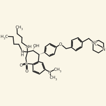 CCCCNC1(NCCCC)CS(=O)(=O)c2ccc(N(C)C)cc2[C@@H](c2ccc(OCc3ccc(C[N+]45CCN(CC4)CC5)cc3)cc2)[C@H]1O